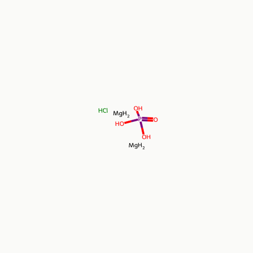 Cl.O=P(O)(O)O.[MgH2].[MgH2]